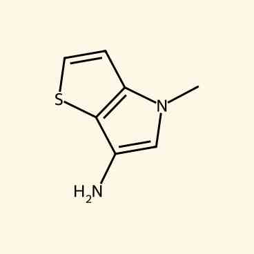 Cn1cc(N)c2sccc21